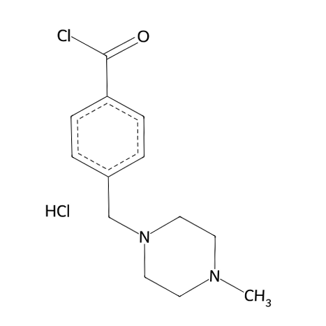 CN1CCN(Cc2ccc(C(=O)Cl)cc2)CC1.Cl